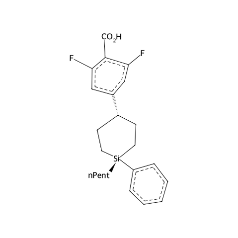 CCCCC[Si@]1(c2ccccc2)CC[C@@H](c2cc(F)c(C(=O)O)c(F)c2)CC1